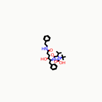 CC(C)C(C(=O)NC(Cc1ccccc1)C(O)CCC(=O)NCCc1ccccc1)N(C(=O)O)C(C)(C)C